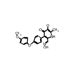 Cc1[nH]c(C=NO)c(-c2ccc(Oc3ccc(OC(F)(F)F)cc3)cc2)c(=O)c1Cl